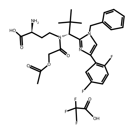 CC(=O)OCC(=O)N(CC[C@H](N)C(=O)O)[C@@H](c1nc(-c2cc(F)ccc2F)cn1Cc1ccccc1)C(C)(C)C.O=C(O)C(F)(F)F